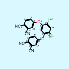 N#Cc1ccc(Oc2cc(Oc3ccc(C#N)c(C#N)c3)c(F)cc2F)cc1C#N